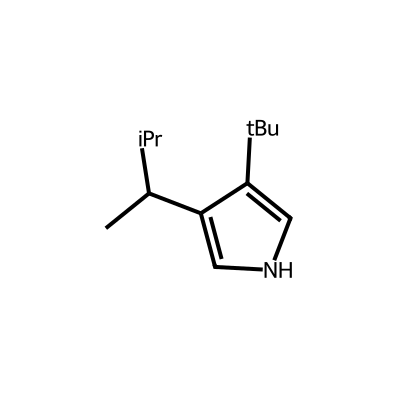 CC(C)C(C)c1c[nH]cc1C(C)(C)C